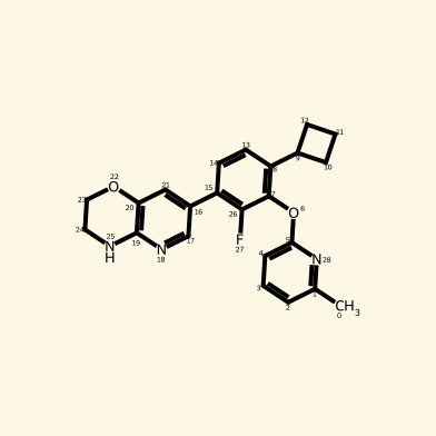 Cc1cccc(Oc2c(C3CCC3)ccc(-c3cnc4c(c3)OCCN4)c2F)n1